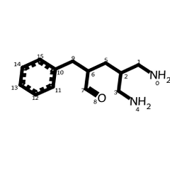 NCC(CN)CC(C=O)Cc1ccccc1